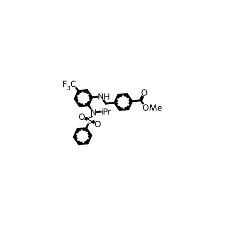 COC(=O)c1ccc(CNc2cc(C(F)(F)F)ccc2N(C(C)C)S(=O)(=O)c2ccccc2)cc1